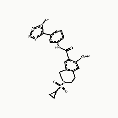 COc1cc2c(cc1C(=O)Nc1cccc(-c3nnnn3C(C)C)n1)CN(S(=O)(=O)C1CC1)CC2